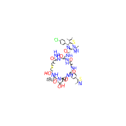 Cc1ncsc1-c1ccc([C@H]2NC(=O)[C@@H]3C[C@@H](O)CN3C(=O)[C@H](C(C)(C)C)NC(O)CSCC[C@H](C(N)=O)NC(=O)[C@@H](CNC(=O)C[C@@H]3N=C(c4ccc(Cl)cc4)c4c(sc(C)c4C)-n4c(C)nnc43)NC(=O)CCNC2=O)cc1